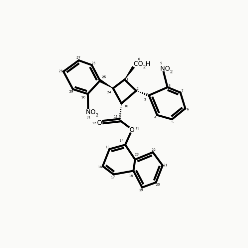 O=C(O)[C@H]1[C@H](c2ccccc2[N+](=O)[O-])[C@H](C(=O)Oc2cccc3ccccc23)[C@H]1c1ccccc1[N+](=O)[O-]